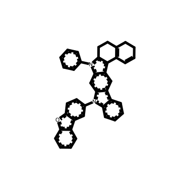 C1=CC2=C(CC1)CCc1c2c2cc3c4ccccc4n(-c4ccc5oc6ccccc6c5c4)c3cc2n1-c1ccccc1